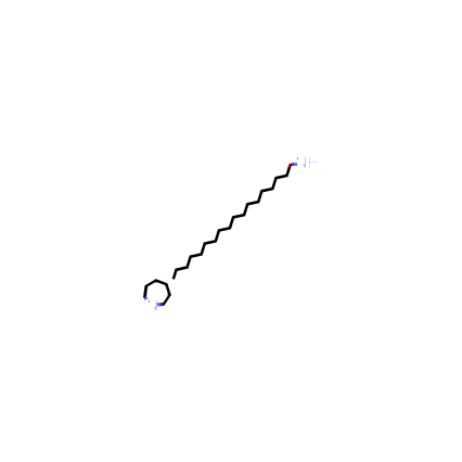 C1CCCNCC1.CCCCCCCCCCCCCCCCCC(N)=O